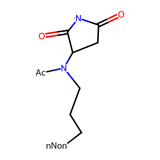 CCCCCCCCCCCCN(C(C)=O)C1CC(=O)[N]C1=O